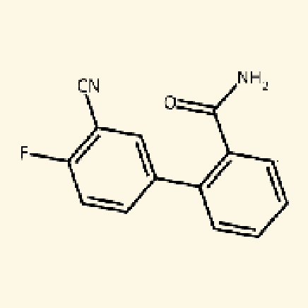 N#Cc1cc(-c2ccc[c]c2C(N)=O)ccc1F